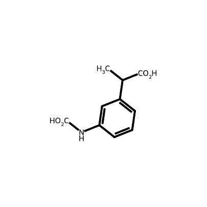 CC(C(=O)O)c1cccc(NC(=O)O)c1